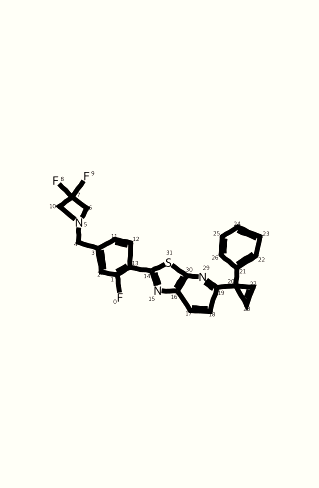 Fc1cc(CN2CC(F)(F)C2)ccc1-c1nc2ccc(C3(c4ccccc4)C=C3)nc2s1